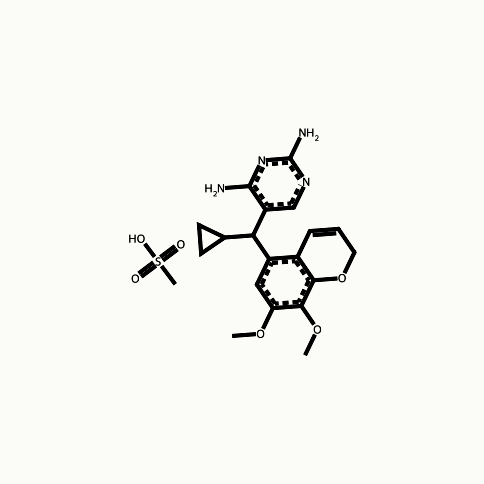 COc1cc(C(c2cnc(N)nc2N)C2CC2)c2c(c1OC)OCC=C2.CS(=O)(=O)O